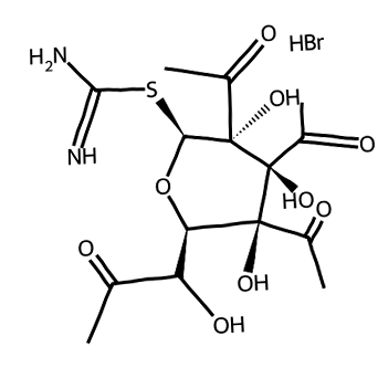 Br.CC(=O)C(O)[C@H]1O[C@@H](SC(=N)N)[C@@](O)(C(C)=O)[C@](O)(C(C)=O)[C@]1(O)C(C)=O